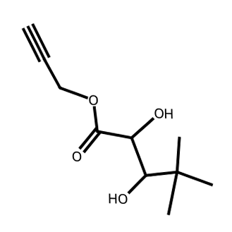 C#CCOC(=O)C(O)C(O)C(C)(C)C